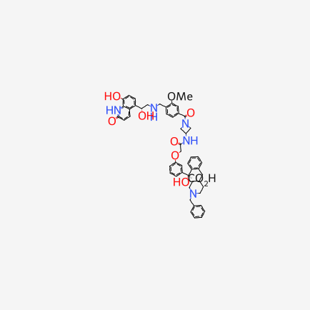 COc1cc(C(=O)N2CC(NC(=O)COc3cccc([C@@](O)(C(=O)O)c4ccccc4CC4CCN(Cc5ccccc5)CC4)c3)C2)ccc1CNC[C@H](O)c1ccc(O)c2[nH]c(=O)ccc12